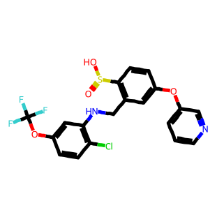 O=S(O)c1ccc(Oc2cccnc2)cc1CNc1cc(OC(F)(F)F)ccc1Cl